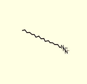 CCCCCCCCCCCCCCCCCN=[N+]=[N-]